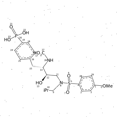 COc1ccc(S(=O)(=O)N(CC(C)C)C[C@@H](O)[C@H](Cc2ccc(P(=O)(O)O)cc2)NC(=O)O)cc1